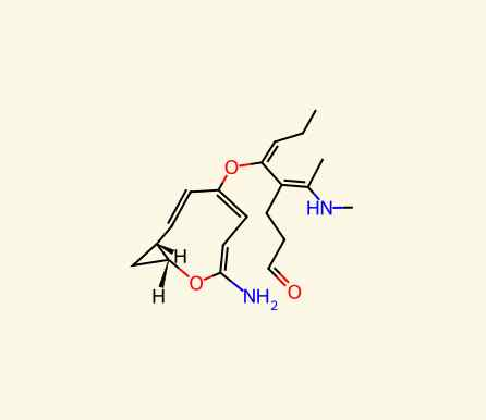 CC/C=C(OC1=C/C=C(\N)O[C@@H]2C[C@@H]2\C=C\1)\C(CCC=O)=C(/C)NC